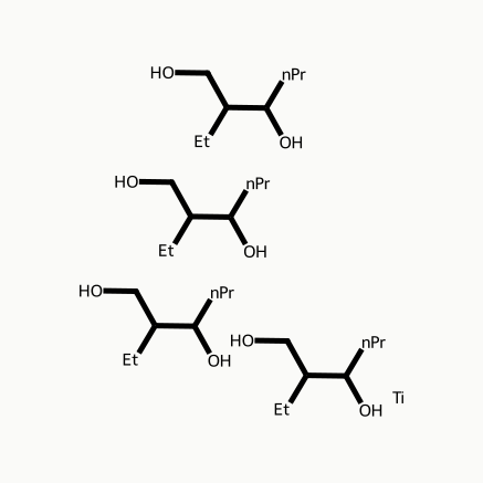 CCCC(O)C(CC)CO.CCCC(O)C(CC)CO.CCCC(O)C(CC)CO.CCCC(O)C(CC)CO.[Ti]